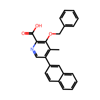 Cc1c(-c2ccc3ccccc3c2)cnc(C(=O)O)c1OCc1ccccc1